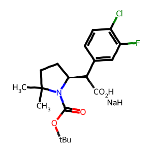 CC(C)(C)OC(=O)N1[C@H](C(C(=O)O)c2ccc(Cl)c(F)c2)CCC1(C)C.[NaH]